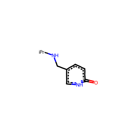 CC(C)NCc1ccc(=O)[nH]c1